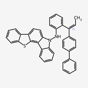 C/C=C(/c1ccc(-c2ccccc2)cc1)c1ccccc1Nn1c2ccccc2c2c3sc4ccccc4c3ccc21